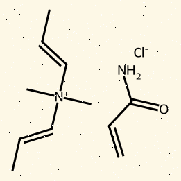 C=CC(N)=O.CC=C[N+](C)(C)C=CC.[Cl-]